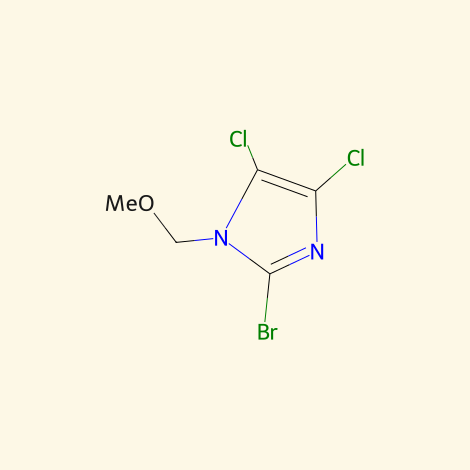 COCn1c(Br)nc(Cl)c1Cl